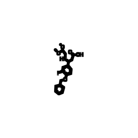 COC(CNC(CC(=O)O)c1ccc(OCc2ccccc2)c(F)c1)OC